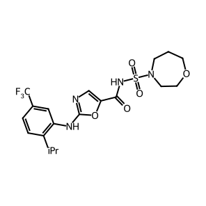 CC(C)c1ccc(C(F)(F)F)cc1Nc1ncc(C(=O)NS(=O)(=O)N2CCCOCC2)o1